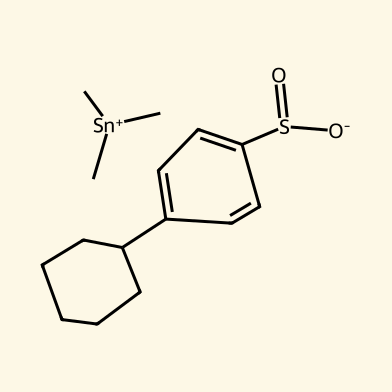 O=S([O-])c1ccc(C2CCCCC2)cc1.[CH3][Sn+]([CH3])[CH3]